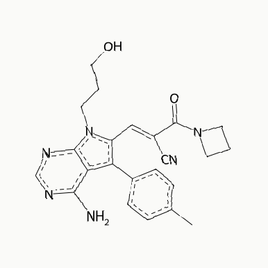 Cc1ccc(-c2c(C=C(C#N)C(=O)N3CCC3)n(CCCO)c3ncnc(N)c23)cc1